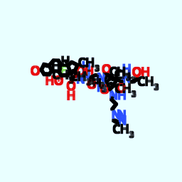 Cc1cn(CCCNC(=O)C(C)(C)C(C)(C(=O)NCC(C)O)C(C)(C)C(=O)NCC(=O)N/N=C(/CO)[C@@]2(O)[C@H](C)C[C@H]3[C@@H]4CCC5=CC(=O)C=C[C@]5(C)[C@@]4(F)[C@@H](O)C[C@@]32C)nn1